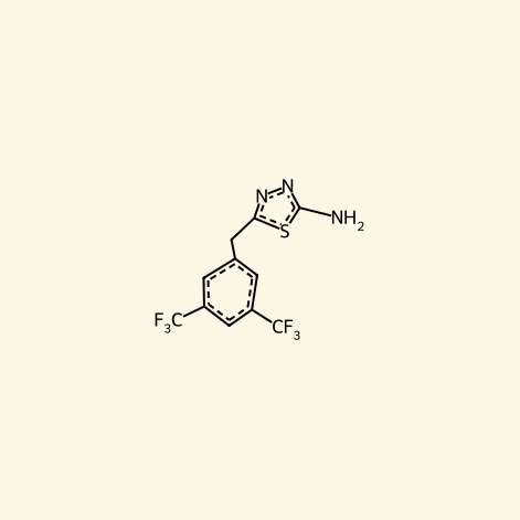 Nc1nnc(Cc2cc(C(F)(F)F)cc(C(F)(F)F)c2)s1